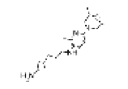 Cc1nc(N2CC(C)OC(C)C2)ccc1NCCCC1CC(N)C1